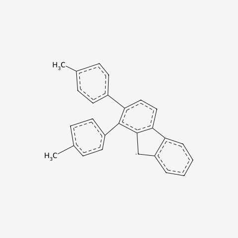 Cc1ccc(-c2ccc3c(c2-c2ccc(C)cc2)[CH]c2ccccc2-3)cc1